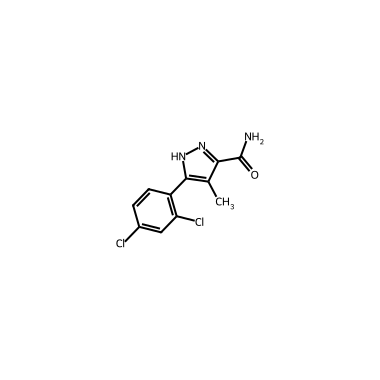 Cc1c(C(N)=O)n[nH]c1-c1ccc(Cl)cc1Cl